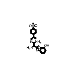 C=C(/C=N\C(N)=C(/N)c1nc2cccc(O)c2[nH]1)c1ccc(S(C)(=O)=O)cc1